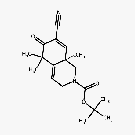 CC(C)(C)OC(=O)N1CC=C2C(C)(C)C(=O)C(C#N)=C[C@@]2(C)C1